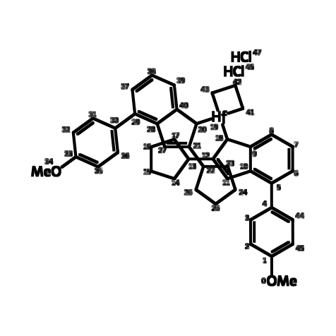 COc1ccc(-c2cccc3c2C=C(C2CCCC2)[CH]3[Hf]2([CH]3C(C4CCCC4)=Cc4c(-c5ccc(OC)cc5)cccc43)[CH2]C[CH2]2)cc1.Cl.Cl